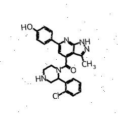 Cc1n[nH]c2nc(-c3ccc(O)cc3)cc(C(=O)N3CCNCC3c3ccccc3Cl)c12